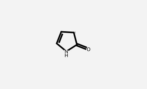 O=C1[C]C=CN1